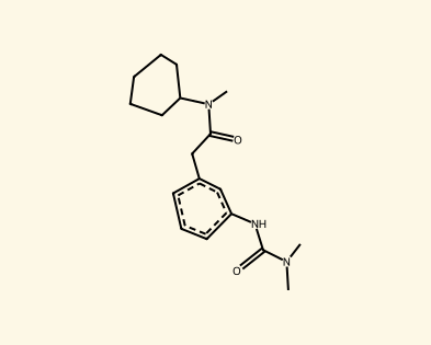 CN(C)C(=O)Nc1cccc(CC(=O)N(C)C2CCCCC2)c1